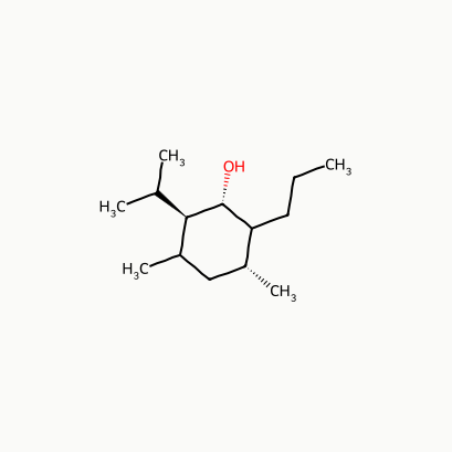 CCCC1[C@H](C)CC(C)[C@@H](C(C)C)[C@@H]1O